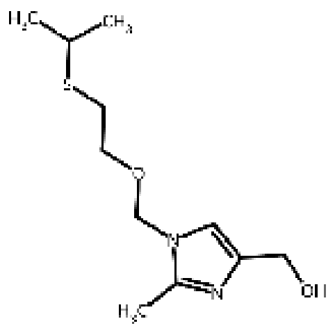 Cc1nc(CO)cn1COCCSC(C)C